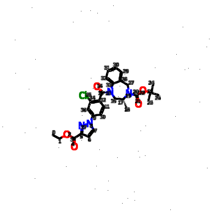 CCOC(=O)c1ccn(-c2ccc(C(=O)N3C[C@@H](C)N(C(=O)OC(C)(C)C)Cc4ccccc43)c(Cl)c2)n1